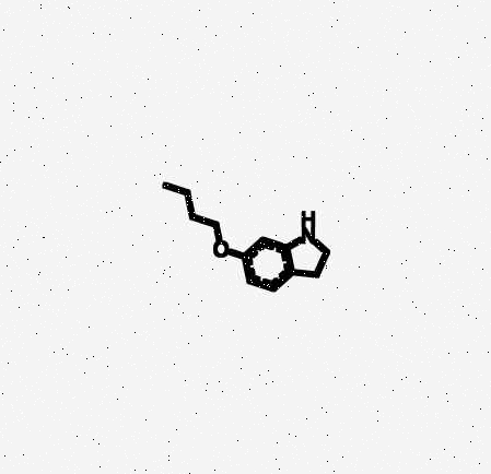 CCCCOc1ccc2c(c1)NCC2